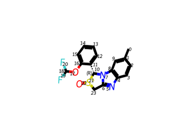 Cc1ccc2nc3n(c2c1)[C@@H](c1ccccc1OC(F)F)[S+]([O-])C3